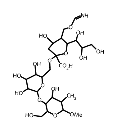 COC1OC(CO)C(OC2OC(COC3(C(=O)O)CC(O)C(COC=N)C(C(O)C(O)CO)O3)C(O)C(O)C2O)C(O)C1C